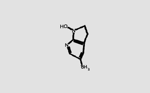 Bc1cnc2c(c1)CCN2O